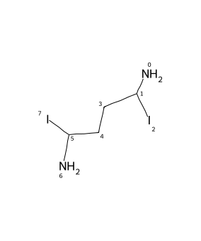 NC(I)CCC(N)I